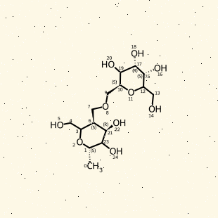 C[C@@H]1OC(CO)[C@@H](COC[C@@H]2OC(CO)[C@@H](O)[C@@H](O)C2O)[C@@H](O)C1O